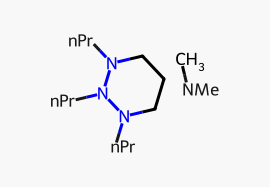 CCCN1CCCN(CCC)N1CCC.CNC